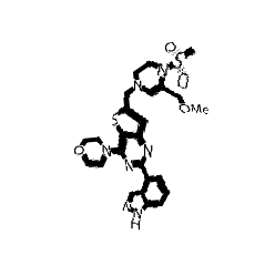 COCC1CN(Cc2cc3nc(-c4cccc5[nH]ncc45)nc(N4CCOCC4)c3s2)CCN1S(C)(=O)=O